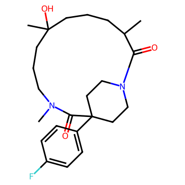 CC1CCCC(C)(O)CCCN(C)C(=O)C2(c3ccc(F)cc3)CCN(CC2)C1=O